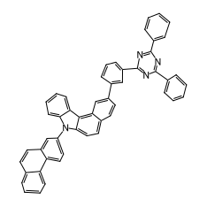 c1ccc(-c2nc(-c3ccccc3)nc(-c3cccc(-c4ccc5ccc6c(c5c4)c4ccccc4n6-c4ccc5c(ccc6ccccc65)c4)c3)n2)cc1